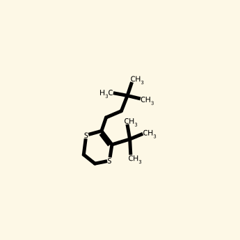 CC(C)(C)CCC1=C(C(C)(C)C)SCCS1